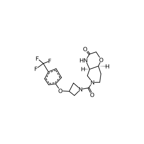 O=C1CO[C@H]2CCN(C(=O)N3CC(Oc4ccc(C(F)(F)F)cc4)C3)C[C@H]2N1